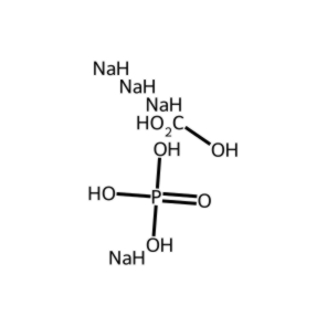 O=C(O)O.O=P(O)(O)O.[NaH].[NaH].[NaH].[NaH]